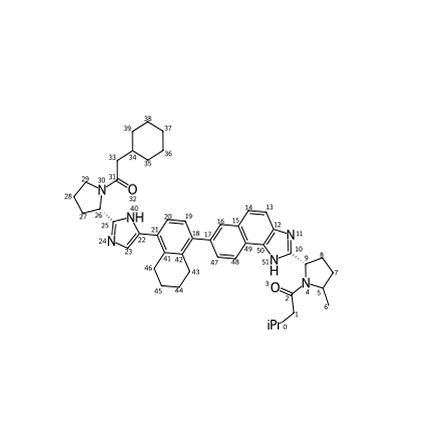 CC(C)CC(=O)N1C(C)CC[C@H]1c1nc2ccc3cc(-c4ccc(-c5cnc([C@@H]6CCCN6C(=O)CC6CCCCC6)[nH]5)c5c4CCCC5)ccc3c2[nH]1